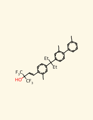 CCC(CC)(c1ccc(/C=C/C(O)(C(F)(F)F)C(F)(F)F)c(C)c1)c1ccc(-c2cccc(C)c2)c(C)c1